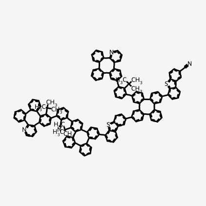 CC(C)(C)c1c(-c2ccc3c(c2)-c2cc(-c4ccc5sc6c(-c7ccc8c(c7)-c7ccccc7-c7ccccc7-c7c-8ccc(-c8cccc(-c9ccc%10c(c9C(C)(C)C)-c9ccccc9-c9ccccc9-c9ncccc9-%10)c8C#N)c7C(C)(C)C)cccc6c5c4)ccc2-c2ccccc2-c2cc(-c4cccc5c4sc4ccc(C#N)cc45)ccc2-3)cccc1-c1ccc2c(c1)-c1ccccc1-c1ccccc1-c1ncccc1-2